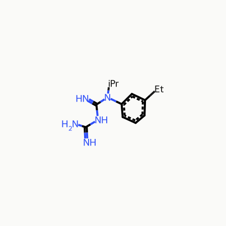 CCc1cccc(N(C(=N)NC(=N)N)C(C)C)c1